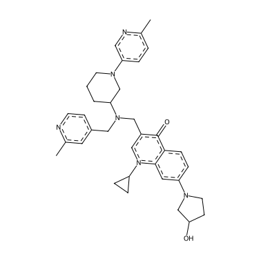 Cc1ccc(N2CCCC(N(Cc3ccnc(C)c3)Cc3cn(C4CC4)c4cc(N5CCC(O)C5)ccc4c3=O)C2)cn1